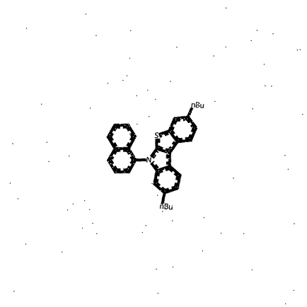 CCCCc1ccc2c(c1)sc1c2c2ccc(CCCC)cc2n1-c1cccc2ccccc12